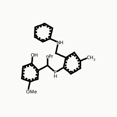 CCCC(Pc1ccc(C)cc1CNc1ccccc1)c1cc(OC)ccc1O